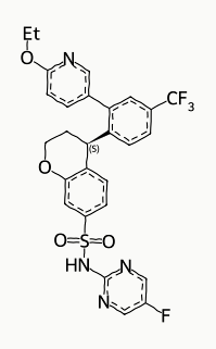 CCOc1ccc(-c2cc(C(F)(F)F)ccc2[C@@H]2CCOc3cc(S(=O)(=O)Nc4ncc(F)cn4)ccc32)cn1